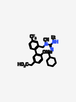 CCNC(=NCC1CCCCC1)N(C#N)Cc1cc(C(F)(F)F)ccc1-c1cc(CC(=O)O)ccc1OC